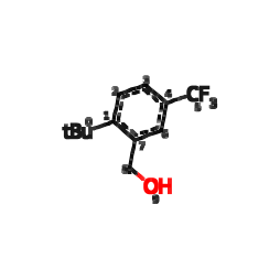 CC(C)(C)c1ccc(C(F)(F)F)cc1[CH]O